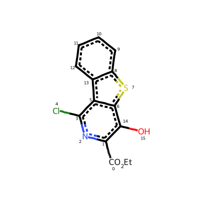 CCOC(=O)c1nc(Cl)c2c(sc3ccccc32)c1O